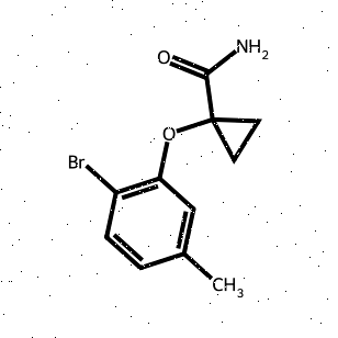 Cc1ccc(Br)c(OC2(C(N)=O)CC2)c1